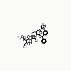 CO/N=C(/C(=O)CCl)C(=O)NC1C(=O)N2C(C(=O)OC(c3ccccc3)c3ccccc3)=C(CSc3cnns3)CS[C@@H]12